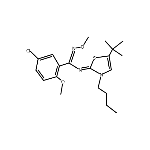 CCCCn1cc(C(C)(C)C)sc1=NC(=NOC)c1cc(Cl)ccc1OC